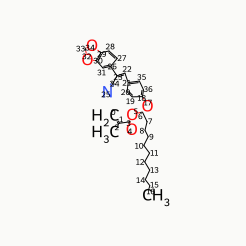 C=C(C)C(=O)OC(CCCCCCCCCC)Oc1ccc(/C=C(\C#N)c2ccc3c(c2)OCO3)cc1